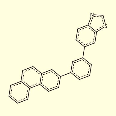 c1cc(-c2ccc3c(ccc4ccccc43)c2)cc(-c2ccc3ncsc3c2)c1